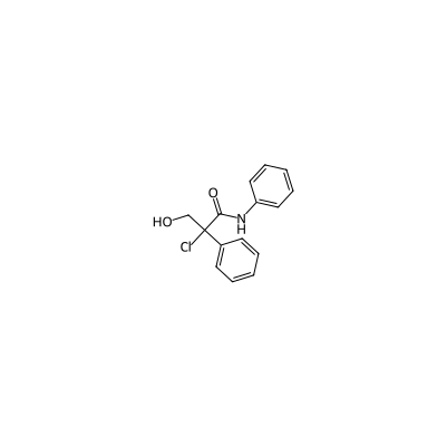 O=C(Nc1ccccc1)C(Cl)(CO)c1ccccc1